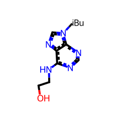 CCC(C)n1cnc2c(NCCO)ncnc21